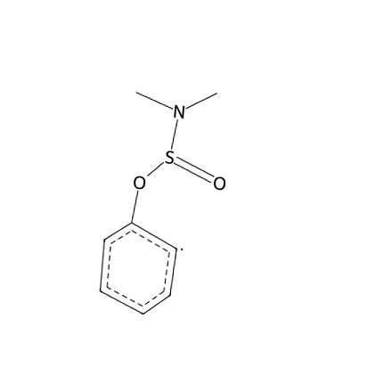 CN(C)S(=O)Oc1[c]cccc1